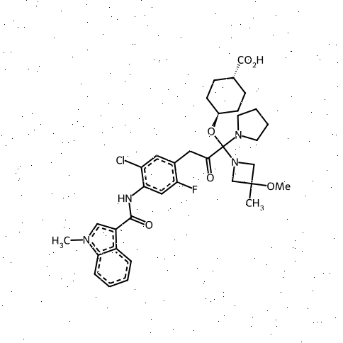 COC1(C)CN(C(O[C@H]2CC[C@H](C(=O)O)CC2)(C(=O)Cc2cc(Cl)c(NC(=O)c3cn(C)c4ccccc34)cc2F)N2CCCC2)C1